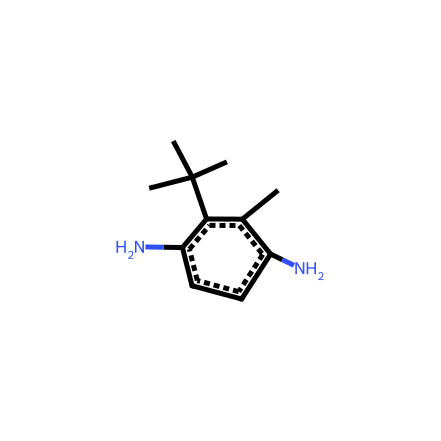 Cc1c(N)ccc(N)c1C(C)(C)C